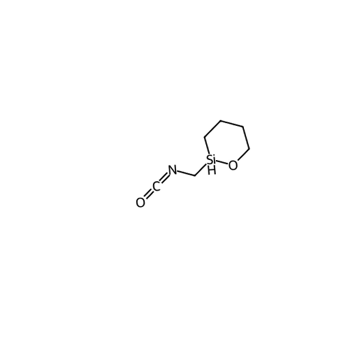 O=C=NC[SiH]1CCCCO1